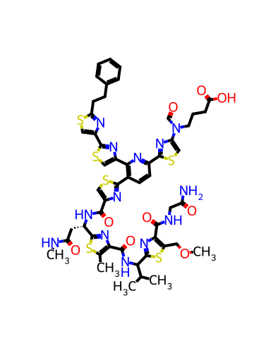 CNC(=O)C[C@H](NC(=O)c1csc(-c2ccc(-c3nc(N(C=O)CCCC(=O)O)cs3)nc2-c2csc(-c3csc(CCc4ccccc4)n3)n2)n1)c1nc(C(=O)NC(c2nc(C(=O)NCC(N)=O)c(COC)s2)C(C)C)c(C)s1